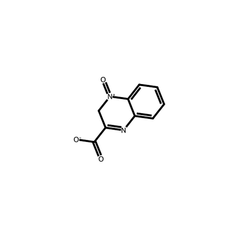 O=C([O-])C1=Nc2ccccc2[N+](=O)C1